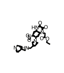 CCOC(=O)Cn1c(=O)c(=O)[nH]c2cc([N+](=O)[O-])c(-n3ccc(CNCc4ccncc4)c3)cc21